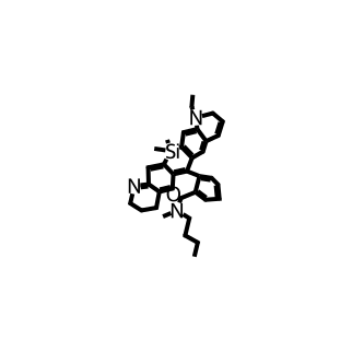 CCCCN(C)C(=O)c1ccccc1C1=c2cc3c(cc2[Si](C)(C)c2cc4c(cc21)C=CCN4CC)=NCCC3